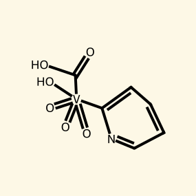 O=[C](O)[V](=[O])(=[O])(=[O])([OH])[c]1ccccn1